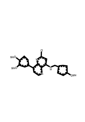 COc1ccc(CNc2cc(Cl)nc3c(-c4ccc(OC)c(OC)c4)ccnc23)cc1